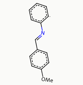 COc1ccc(C=Nc2[c]cccc2)cc1